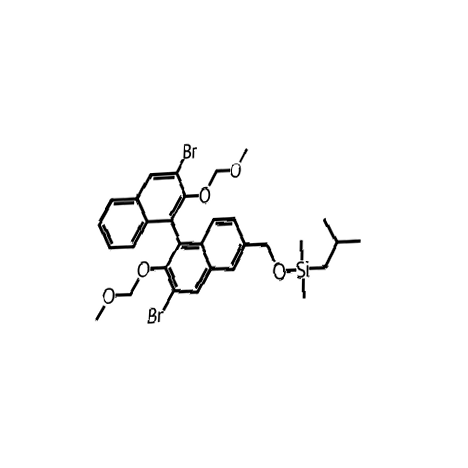 COCOc1c(Br)cc2ccccc2c1-c1c(OCOC)c(Br)cc2cc(CO[Si](C)(C)CC(C)C)ccc12